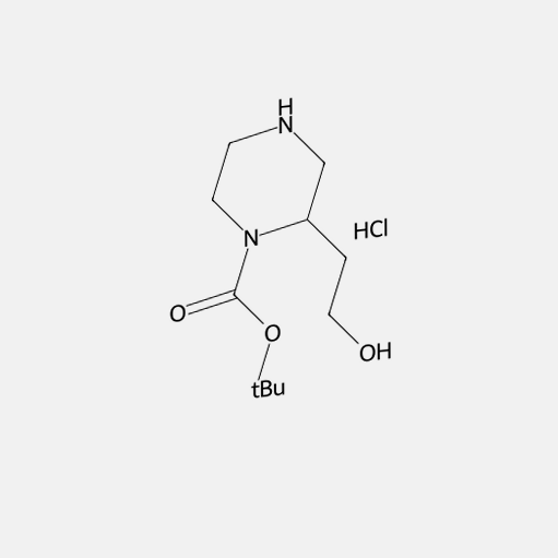 CC(C)(C)OC(=O)N1CCNCC1CCO.Cl